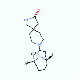 CCOC(=O)N1[C@@H]2CC[C@H]1C[C@H](N1CCC3(CC1)CNC(=O)C3)C2